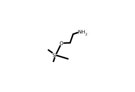 C[Si](C)(C)OCCN